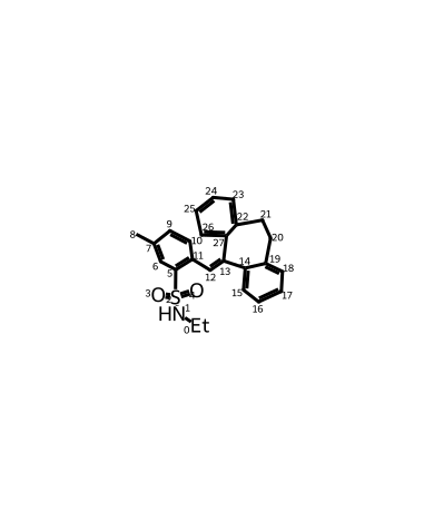 CCNS(=O)(=O)c1cc(C)ccc1C=C1c2ccccc2CCc2ccccc21